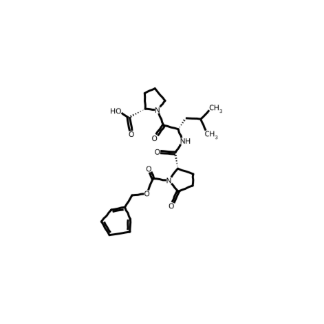 CC(C)C[C@H](NC(=O)[C@@H]1CCC(=O)N1C(=O)OCc1ccccc1)C(=O)N1CCC[C@H]1C(=O)O